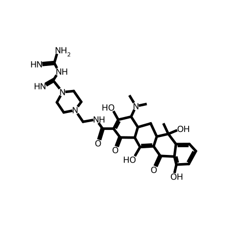 CN(C)C1C(O)=C(C(=O)NCN2CCN(C(=N)NC(=N)N)CC2)C(=O)C2C(O)=C3C(=O)c4c(O)cccc4C(C)(O)C3CC21